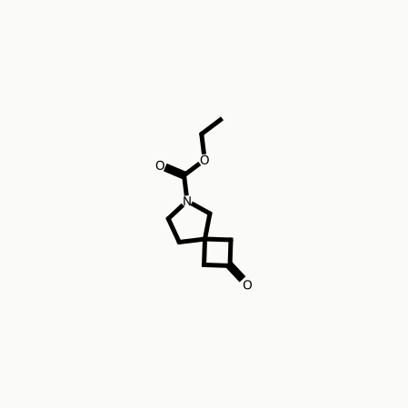 CCOC(=O)N1CCC2(CC(=O)C2)C1